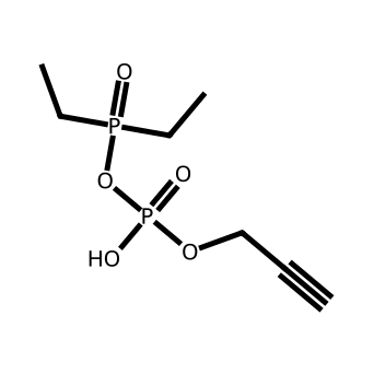 C#CCOP(=O)(O)OP(=O)(CC)CC